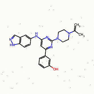 C=C(C)N1CCN(c2nc(Nc3ccc4[nH]ncc4c3)cc(-c3cccc(O)c3)n2)CC1